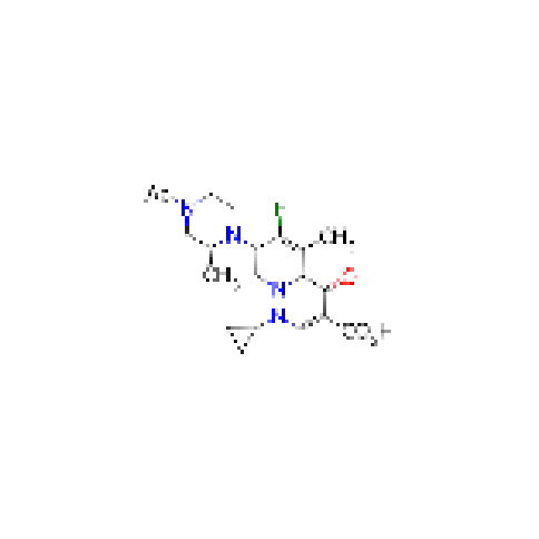 CC(=O)N1CCN(C2=CN3C(C(=O)C(C(=O)O)=CN3C3CC3)C(C)=C2F)[C@@H](C)C1